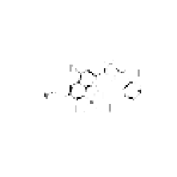 CC(C)(C)c1cc(OCC(F)(F)F)cc2c(N)cc(-c3nnc(Nc4ccccn4)o3)nc12